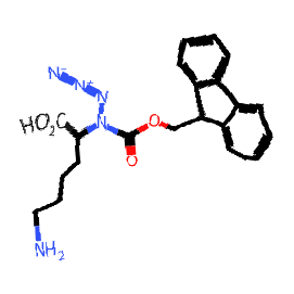 [N-]=[N+]=NN(C(=O)OCC1c2ccccc2-c2ccccc21)C(CCCCN)C(=O)O